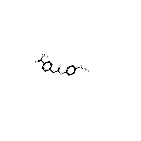 COc1ccc(OC(=O)Cc2ccc(C(C)=O)cc2)cc1